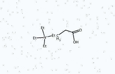 CCC(=O)O.CC[N+](CC)(CC)CC